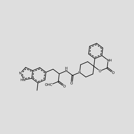 Cc1cc(CC(NC(=O)N2CCC3(CC2)OC(=O)Nc2ccccc23)C(=O)C=O)cc2cn[nH]c12